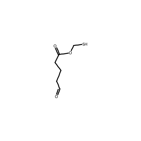 O=CCCCC(=O)OCS